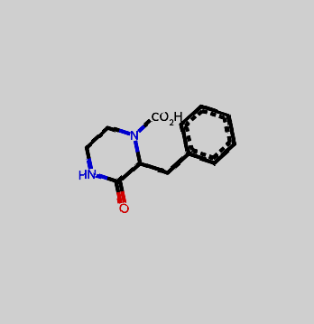 O=C1NCCN(C(=O)O)C1Cc1ccccc1